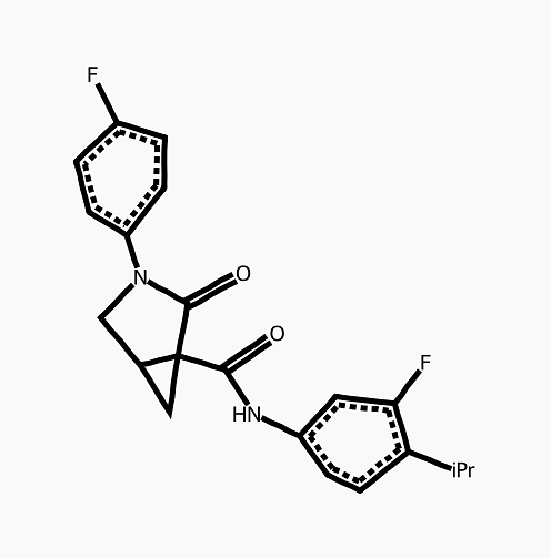 CC(C)c1ccc(NC(=O)C23CC2CN(c2ccc(F)cc2)C3=O)cc1F